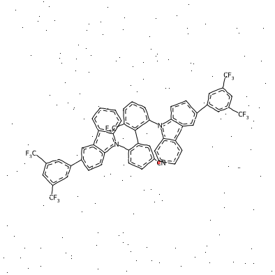 N#Cc1ccc(-n2c3ccccc3c3cc(-c4cc(C(F)(F)F)cc(C(F)(F)F)c4)ccc32)c(-c2c(-n3c4ccccc4c4cc(-c5cc(C(F)(F)F)cc(C(F)(F)F)c5)ccc43)cccc2C(F)(F)F)c1